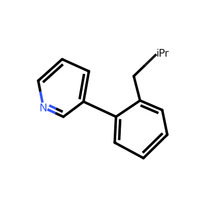 CC(C)Cc1ccccc1-c1cccnc1